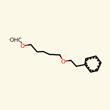 O=[C]OCCCCCOCCc1ccccc1